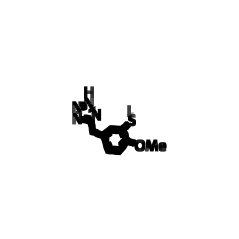 COc1ccc(Cc2nn[nH]n2)cc1SI